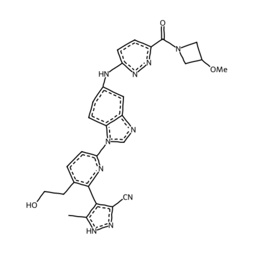 COC1CN(C(=O)c2ccc(Nc3ccc4c(c3)ncn4-c3ccc(CCO)c(-c4c(C#N)n[nH]c4C)n3)nn2)C1